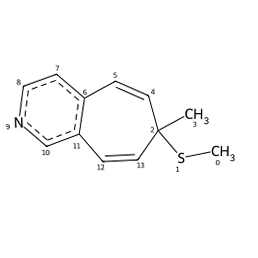 CSC1(C)C=Cc2ccncc2C=C1